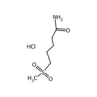 CS(=O)(=O)CCCCC(N)=O.Cl